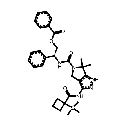 CC1(C)c2[nH]nc(NC(=O)C3(S(C)(C)C)CCC3)c2CN1C(=O)N[C@H](COC(=O)c1ccccc1)c1ccccc1